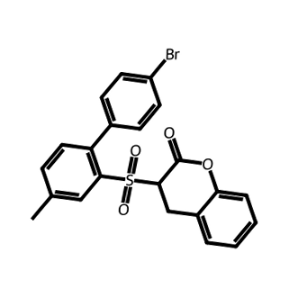 Cc1ccc(-c2ccc(Br)cc2)c(S(=O)(=O)C2Cc3ccccc3OC2=O)c1